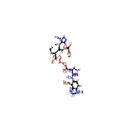 CCC(C(=O)OCOC(=O)N1CCN=C1Nc1ccc2[nH]cnc2c1Br)[C@H](COC(C)=O)Cc1cncn1C